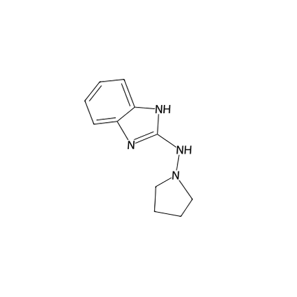 c1ccc2[nH]c(NN3CCCC3)nc2c1